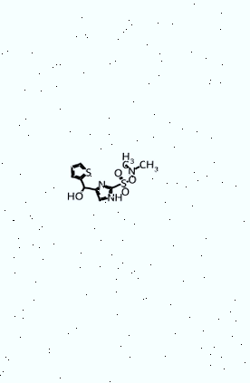 CN(C)OS(=O)(=O)c1nc(C(O)c2cccs2)c[nH]1